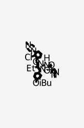 CCc1c(Oc2cccc(N3CCN(C)CC3)c2Cl)nc(NS(=O)(=O)c2cnn(C)c2)nc1-c1ccc(OCC(C)C)cc1